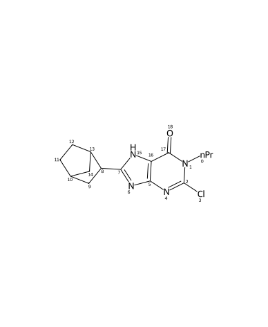 CCCn1c(Cl)nc2nc(C3CC4CCC3C4)[nH]c2c1=O